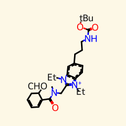 CCn1c(CN(C)C(=O)C2=CC=CCC2C=O)[n+](CC)c2ccc(CCCNC(=O)OC(C)(C)C)cc21